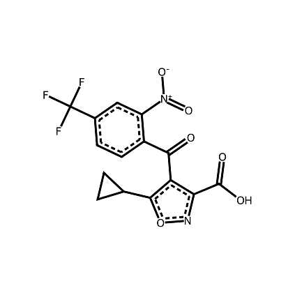 O=C(O)c1noc(C2CC2)c1C(=O)c1ccc(C(F)(F)F)cc1[N+](=O)[O-]